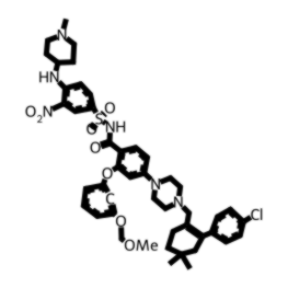 COCOc1cccc(Oc2cc(N3CCN(CC4=C(c5ccc(Cl)cc5)CC(C)(C)CC4)CC3)ccc2C(=O)NS(=O)(=O)c2ccc(NC3CCN(C)CC3)c([N+](=O)[O-])c2)c1